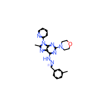 Cc1cccc(/C=N/Nc2nc(N3CCOCC3)nc3c2nc(C)n3-c2ccccn2)c1